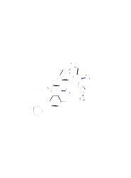 CO/C(=N\C(=N)c1cnc2ccc(/C(=C/N)C(=N)c3ccc(OC4CCCC4)cc3F)cn12)C1CC1